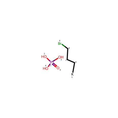 O=P(O)(O)O.[K][CH2]CCBr